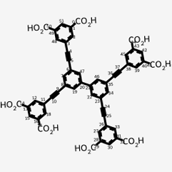 O=C(O)c1cc(C#Cc2cc(C#Cc3cc(C(=O)O)cc(C(=O)O)c3)cc(-c3cc(C#Cc4cc(C(=O)O)cc(C(=O)O)c4)cc(C#Cc4cc(C(=O)O)cc(C(=O)O)c4)c3)c2)cc(C(=O)O)c1